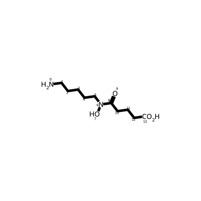 NCCCCCN(O)C(=O)CCCC(=O)O